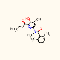 Cc1cccc(C)c1C(=O)N(C)c1cc(C#N)c(O)c(C(=O)CCC(=O)O)n1